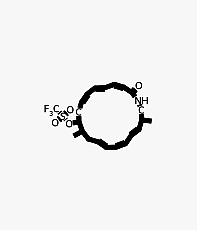 CC1/C=C/C=C\C=C\CC(C)C(OS(=O)(=O)C(F)(F)F)C\C=C/C=C/C=C\C(=O)NC1